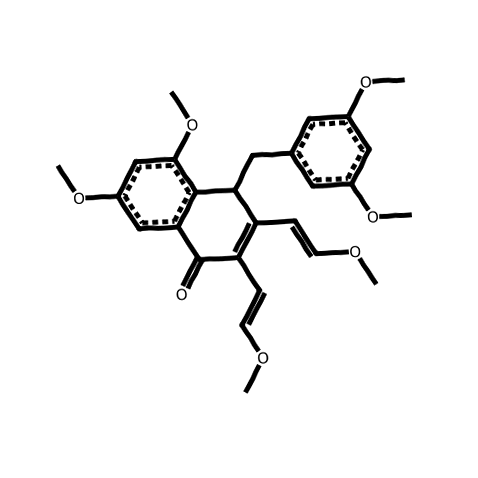 CO/C=C/C1=C(/C=C/OC)C(Cc2cc(OC)cc(OC)c2)c2c(OC)cc(OC)cc2C1=O